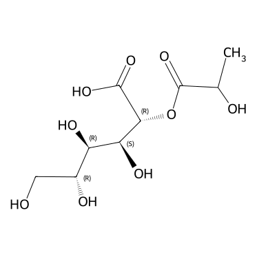 CC(O)C(=O)O[C@@H](C(=O)O)[C@@H](O)[C@H](O)[C@H](O)CO